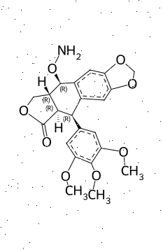 COc1cc([C@@H]2c3cc4c(cc3[C@H](ON)[C@H]3COC(=O)[C@H]23)OCO4)cc(OC)c1OC